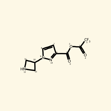 O=C(OC(=O)C(F)(F)F)c1ccn(C2CNC2)n1